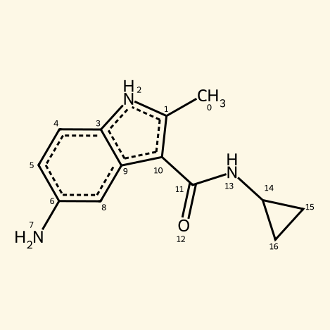 Cc1[nH]c2ccc(N)cc2c1C(=O)NC1CC1